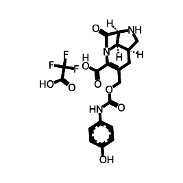 O=C(Nc1ccc(O)cc1)OCC1=C(C(=O)O)N2C(=O)[C@H]3NC[C@@H](C1)[C@H]32.O=C(O)C(F)(F)F